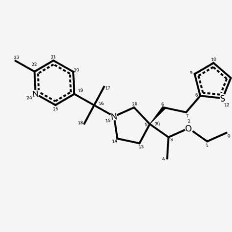 CCOC(C)[C@]1(CCc2cccs2)CCN(C(C)(C)c2ccc(C)nc2)C1